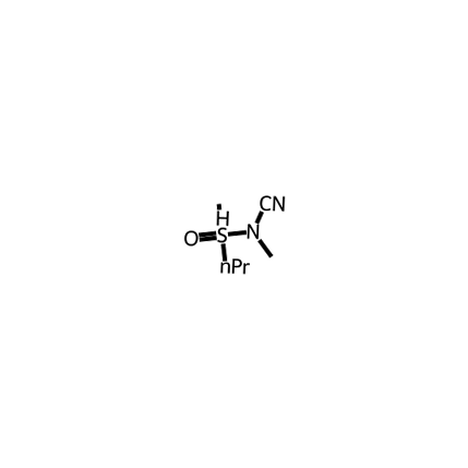 CCC[SH](C)(=O)N(C)C#N